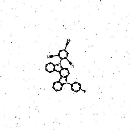 N#Cc1cc(C#N)c(-n2c3ccccc3c3c4c5ccccc5n(-c5ccc(F)cc5)c4ccc32)c(C#N)c1